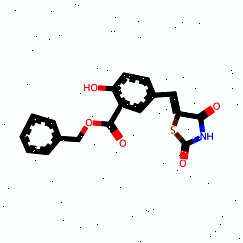 O=C1NC(=O)C(=Cc2ccc(O)c(C(=O)OCc3ccccc3)c2)S1